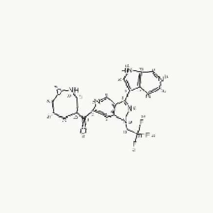 O=C(c1cc2c(cn1)c(-c1c[nH]c3cnccc13)nn2CC(F)(F)F)C1CCCONC1